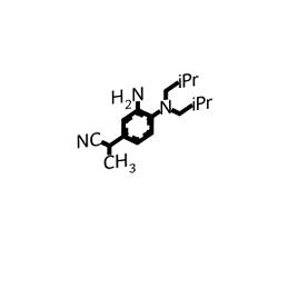 CC(C)CN(CC(C)C)c1ccc(C(C)C#N)cc1N